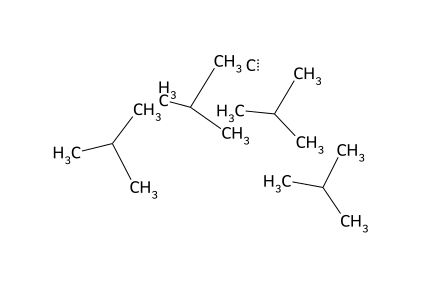 CC(C)C.CC(C)C.CC(C)C.CC(C)C.[C]